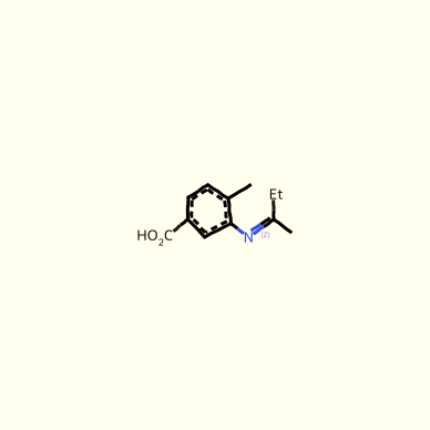 CC/C(C)=N\c1cc(C(=O)O)ccc1C